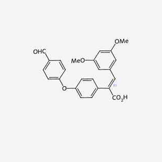 COc1cc(/C=C(/C(=O)O)c2ccc(Oc3ccc(C=O)cc3)cc2)cc(OC)c1